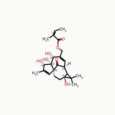 C/C=C(/C)C(=O)OCC1=C[C@@H]2C(=O)[C@]3(C=C(C)[C@H](O)[C@@]3(O)[C@@H]1O)CC[C@]1(O)C2C1(C)C